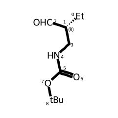 CC[C@@H](C=O)CNC(=O)OC(C)(C)C